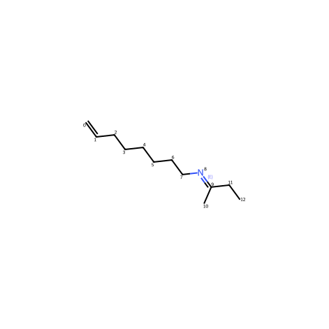 C=CCCCCCC/N=C(\C)CC